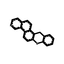 c1ccc2c(c1)Cc1c(ccc3c1ccc1ccncc13)O2